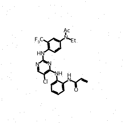 C=CC(=O)Nc1ccccc1Nc1nc(Nc2ccc(N(CC)C(C)=O)cc2C(F)(F)F)ncc1Cl